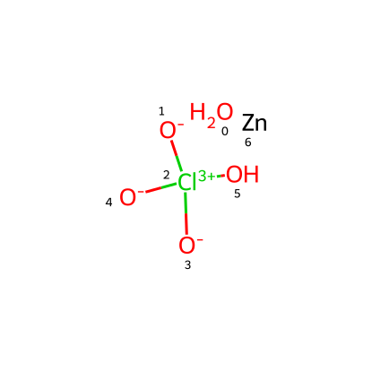 O.[O-][Cl+3]([O-])([O-])O.[Zn]